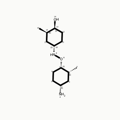 C[C@@H]1C[C@H](N)CC[C@@H]1ON[C@H]1CC[C@H](O)[C@H](C)C1